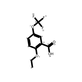 CCOc1ccc(OC(F)(F)F)cc1C(=O)O